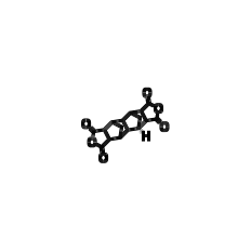 O=C1OC(=O)C2C3CC(C12)C1C2C[C@@H](C4C(=O)OC(=O)C24)C31